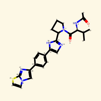 CC(=O)N[C@H](C(=O)N1CCCC1c1ncc(-c2ccc(-c3cn4ccsc4n3)cc2)[nH]1)C(C)C